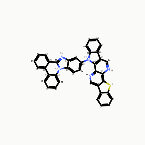 c1ccc2c(c1)sc1c2cnc2c1ncc1c3ccccc3n(-c3ccc4c(c3)nc3c5ccccc5c5ccccc5n43)c12